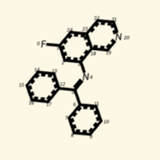 Fc1cc(N=C(c2ccccc2)c2ccccc2)c2cnccc2c1